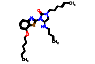 C=CCCNC1CN(CCCC=CC)C(=O)N1c1nc2cccc(OCCCCCC)c2s1